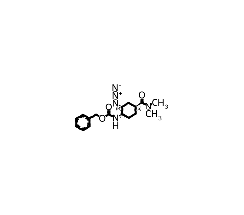 CN(C)C(=O)[C@H]1CC[C@H](NC(=O)OCc2ccccc2)[C@H](N=[N+]=[N-])C1